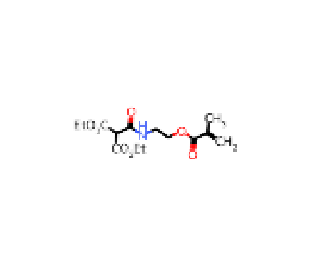 C=C(C)C(=O)OCCNC(=O)C(C(=O)OCC)C(=O)OCC